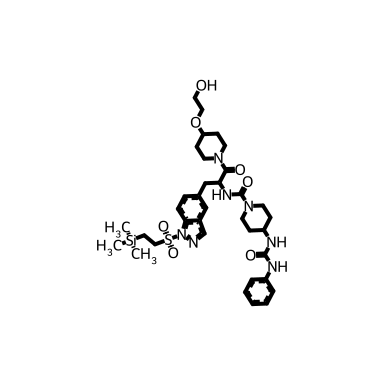 C[Si](C)(C)CCS(=O)(=O)n1ncc2cc(CC(NC(=O)N3CCC(NC(=O)Nc4ccccc4)CC3)C(=O)N3CCC(OCCO)CC3)ccc21